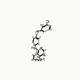 Clc1cccc(Oc2ccc(Nc3ncnc4[nH]ccc34)cc2)c1